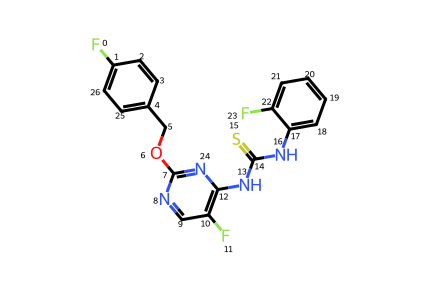 Fc1ccc(COc2ncc(F)c(NC(=S)Nc3ccccc3F)n2)cc1